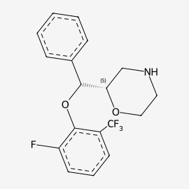 Fc1cccc(C(F)(F)F)c1OC(c1ccccc1)[C@@H]1CNCCO1